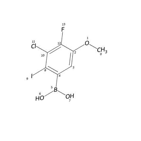 COc1cc(B(O)O)c(I)c(Cl)c1F